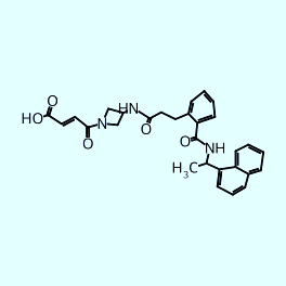 CC(NC(=O)c1ccccc1CCC(=O)NC1CN(C(=O)/C=C/C(=O)O)C1)c1cccc2ccccc12